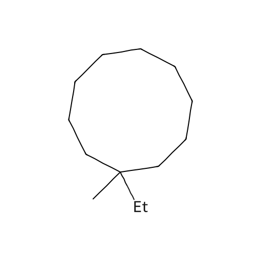 [CH2]CC1(C)CCCCCCCCC1